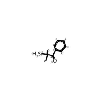 CC(C)([SiH2])C(=O)c1ccccc1